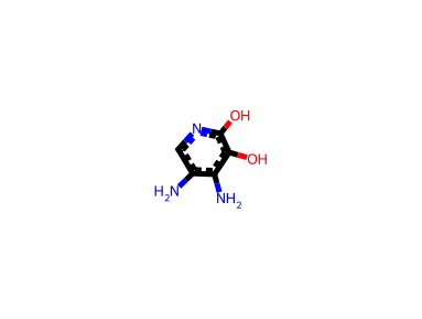 Nc1cnc(O)c(O)c1N